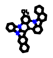 Cc1cc2c3c(c1)-n1c4ccccc4n4c5cc6ccccc6cc5c(c14)B3c1cccc3c4ccc5ccccc5c4n-2c13